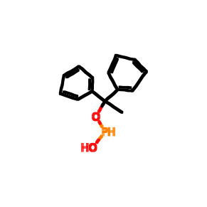 CC(OPO)(c1ccccc1)c1ccccc1